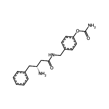 NC(=O)Oc1ccc(CNC(=O)C[C@H](N)Cc2ccccc2)cc1